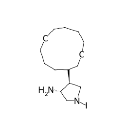 N[C@H]1CN(I)C[C@@H]1C1CCCCCCCCCC1